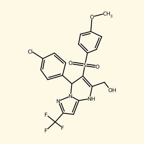 COc1ccc(S(=O)(=O)C2=C(CO)Nc3cc(C(F)(F)F)nn3C2c2ccc(Cl)cc2)cc1